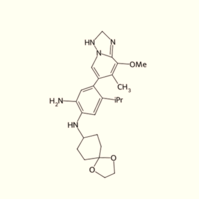 COC1=C(C)C(c2cc(N)c(NC3CCC4(CC3)OCCO4)cc2C(C)C)=CN2NCN=C12